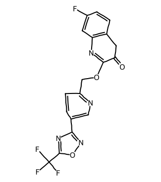 O=C1Cc2ccc(F)cc2N=C1OCc1ccc(-c2noc(C(F)(F)F)n2)cn1